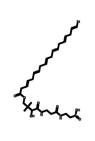 CCC=CCC=CCC=CCC=CCC=CCC=CCC(=O)OCC(C)(C)C(O)C(=O)NCCC(=O)NCCS(=O)O